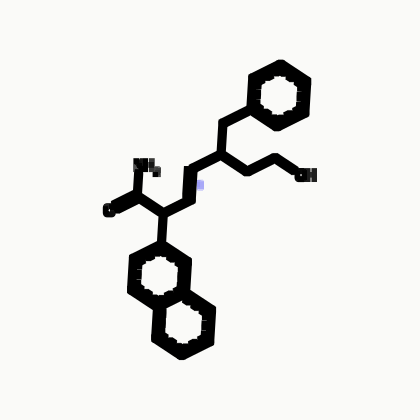 NC(=O)[C](/C=C/C(CCO)Cc1ccccc1)c1ccc2ccccc2c1